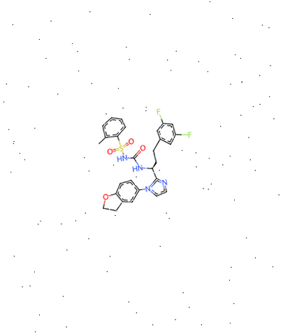 Cc1ccccc1S(=O)(=O)NC(=O)N[C@@H](CCc1cc(F)cc(F)c1)c1nccn1-c1ccc2c(c1)CCO2